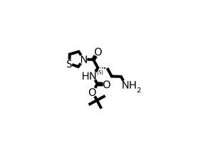 CC(C)(C)OC(=O)N[C@@H](CCCN)C(=O)N1CCSC1